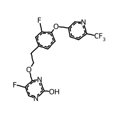 Oc1ncc(F)c(OCCc2ccc(Oc3ccc(C(F)(F)F)nc3)c(F)c2)n1